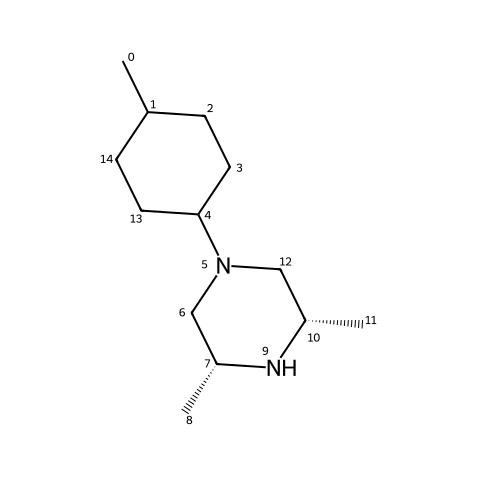 CC1CCC(N2C[C@@H](C)N[C@@H](C)C2)CC1